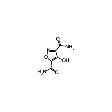 NC(=O)c1noc(C(N)=O)c1O